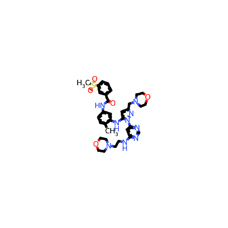 Cc1ccc(NC(=O)c2cccc(S(C)(=O)=O)c2)cc1Nc1cc(CN2CCOCC2)nn1-c1cc(NCCN2CCOCC2)ncn1